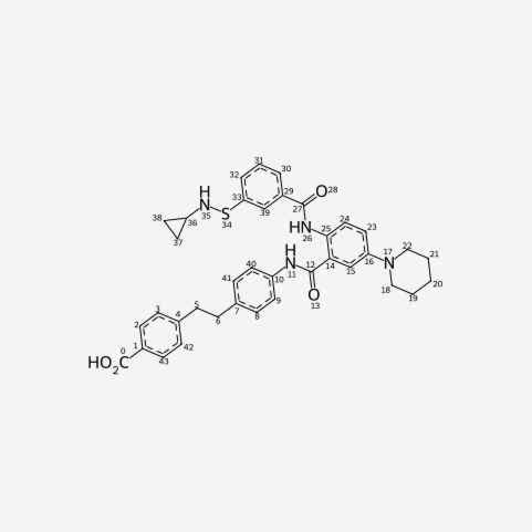 O=C(O)c1ccc(CCc2ccc(NC(=O)c3cc(N4CCCCC4)ccc3NC(=O)c3cccc(SNC4CC4)c3)cc2)cc1